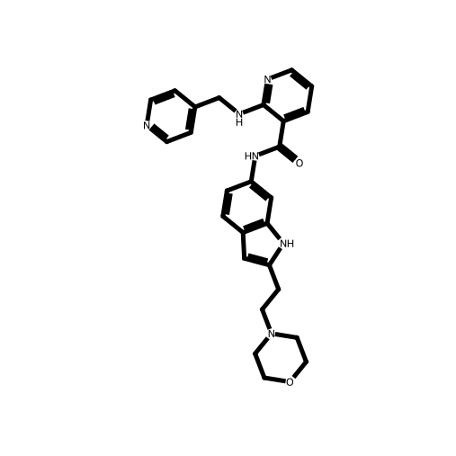 O=C(Nc1ccc2cc(CCN3CCOCC3)[nH]c2c1)c1cccnc1NCc1ccncc1